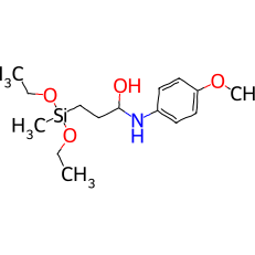 CCO[Si](C)(CCC(O)Nc1ccc(OC)cc1)OCC